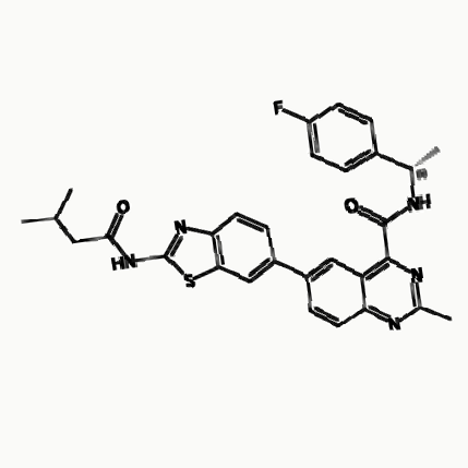 Cc1nc(C(=O)N[C@@H](C)c2ccc(F)cc2)c2cc(-c3ccc4nc(NC(=O)CC(C)C)sc4c3)ccc2n1